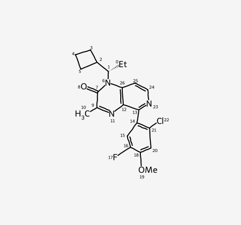 CC[C@@H](C1CCC1)n1c(=O)c(C)nc2c(-c3cc(F)c(OC)cc3Cl)nccc21